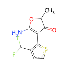 CC1OC(N)=C(c2sccc2C(F)F)C1=O